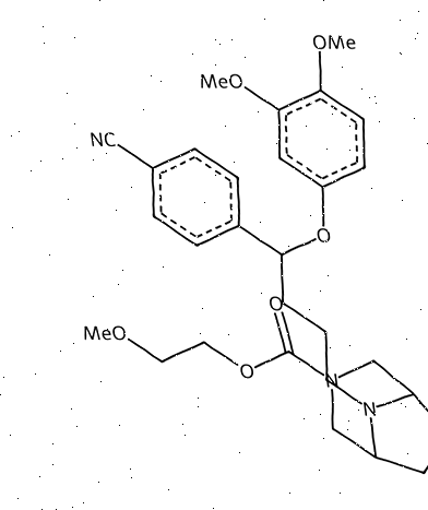 COCCOC(=O)N1CC2CCC(C1)N2CCCC(Oc1ccc(OC)c(OC)c1)c1ccc(C#N)cc1